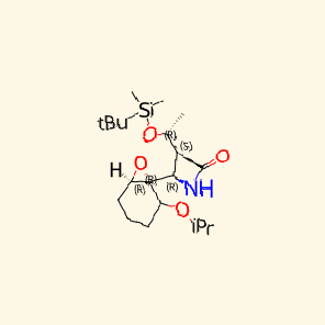 CC(C)OC1CCC[C@H]2O[C@]12[C@@H]1NC(=O)[C@@H]1[C@@H](C)O[Si](C)(C)C(C)(C)C